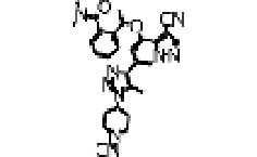 Cc1c(-c2cc(OC(C)c3ccccc3C(=O)N(C)C)c3c(C#N)cnn3c2)nnn1C1CCN(C#N)CC1